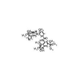 COc1c(NC(=O)c2ccc(C)c(-n3cc(-c4cncn4C(C)(C)C)nn3)c2)cc(C(C)(C)C)cc1NS(C)(=O)=O